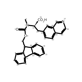 CN(C(=O)OCC1c2ccccc2-c2ccccc21)[C@H](Cc1ccc2ccncc2c1)C(=O)O